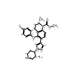 COC(=O)N1c2ccc(-c3cnn([C@@H]4CCNC[C@H]4F)c3)c(Oc3ccc(F)cc3)c2CC[C@@H]1C